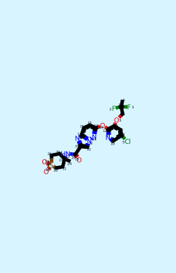 CC(F)(F)COc1cc(Cl)cnc1Oc1ccc2nc(C(=O)NC3(C)CCS(=O)(=O)CC3)cn2n1